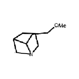 COCCC1C2[CH]N1CCC2